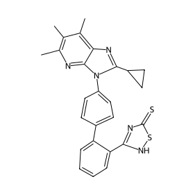 Cc1nc2c(nc(C3CC3)n2-c2ccc(-c3ccccc3-c3nc(=S)s[nH]3)cc2)c(C)c1C